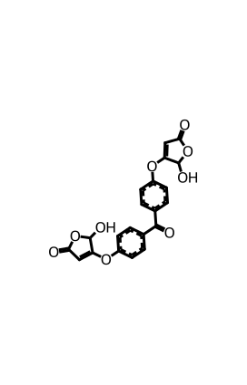 O=C1C=C(Oc2ccc(C(=O)c3ccc(OC4=CC(=O)OC4O)cc3)cc2)C(O)O1